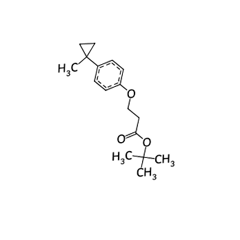 CC(C)(C)OC(=O)CCOc1ccc(C2(C)CC2)cc1